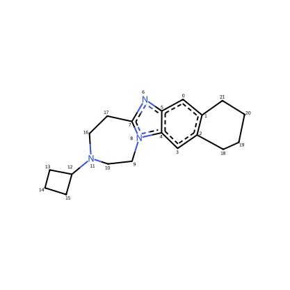 c1c2c(cc3c1nc1n3CCN(C3CCC3)CC1)CCCC2